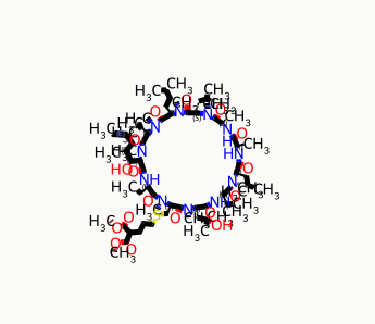 C/C=C/C[C@@H](C)[C@@H](O)[C@H]1C(=O)N[C@H](CC)C(=O)N(C)[C@H](CSCCCC(C(=O)OC)C(=O)OC)C(=O)N(C)[C@@H](CC(C)(C)O)C(=O)N[C@H](C(C)C)C(=O)N(C)[C@H](CC(C)C)C(=O)N[C@H](C)C(=O)N[C@@H](C)C(=O)N(C)[C@@H](CC(C)C)C(=O)N(C)[C@H](CCC(C)C)C(=O)N(C)[C@H](C(C)C)C(=O)N1C